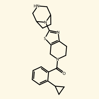 O=C(c1ccccc1C1CC1)N1CCc2nc(N3C4CCC3CNC4)sc2C1